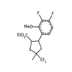 CCOC(=O)C1SC(C)(C(F)(F)F)CC1c1ccc(F)c(F)c1OC